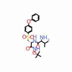 CC(C)C(N)C(=O)N[C@@H](CS(=O)(=O)c1ccc(Oc2ccccc2)cc1)C(=O)NOC(C)(C)C